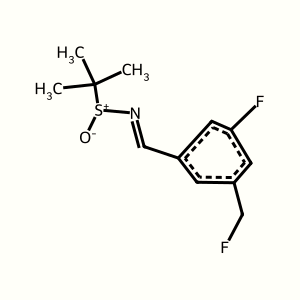 CC(C)(C)[S+]([O-])N=Cc1cc(F)cc(CF)c1